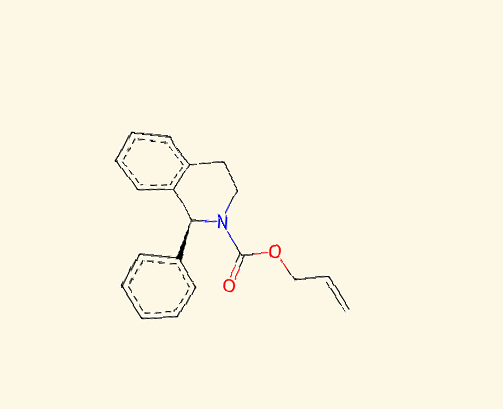 C=CCOC(=O)N1CCc2ccccc2[C@@H]1c1ccccc1